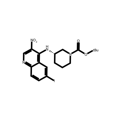 CC(C)(C)OC(=O)N1CCC[C@H](Nc2c([N+](=O)[O-])cnc3ccc(I)cc23)C1